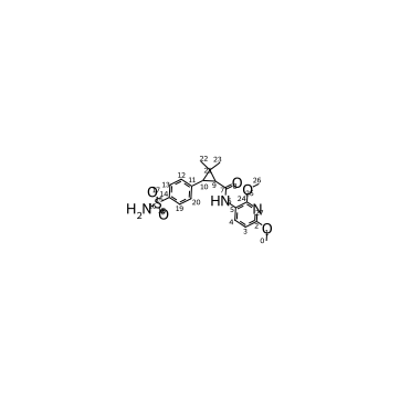 COc1ccc(NC(=O)C2C(c3ccc(S(N)(=O)=O)cc3)C2(C)C)c(OC)n1